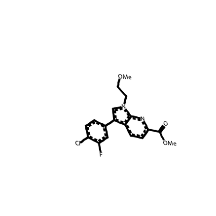 COCCn1cc(-c2ccc(Cl)c(F)c2)c2ccc(C(=O)OC)nc21